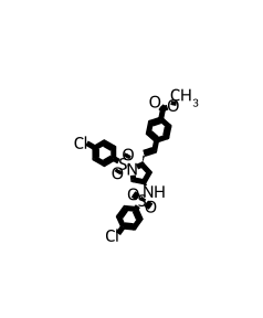 COC(=O)c1ccc(/C=C/[C@@H]2C[C@@H](NS(=O)(=O)c3ccc(Cl)cc3)CN2S(=O)(=O)c2ccc(Cl)cc2)cc1